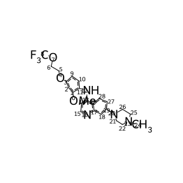 COc1cc(OCCOC(F)(F)F)ccc1Nc1ccnc2cc(N3CCN(C)CC3)ccc12